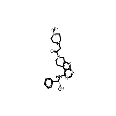 CCCN1CCN(CC(=O)N2CCc3c(sc4ncnc(N[C@H](CO)c5ccccc5)c34)C2)CC1